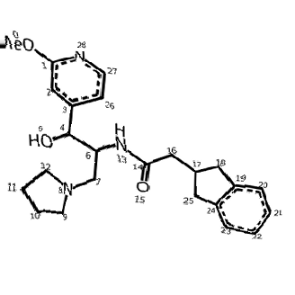 COc1cc(C(O)C(CN2CCCC2)NC(=O)CC2Cc3ccccc3C2)ccn1